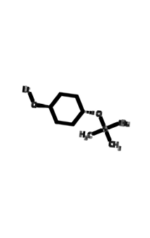 CCO[C@H]1CC[C@H](O[Si](C)(C)C(C)(C)C)CC1